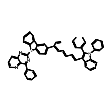 C=C\C(=C/C=C/C=C/c1c(C(/C=C\C)=C/C)n(-c2ccccc2)c2ccccc12)c1ccc2c(c1)c1ccccc1n2-c1nc(-c2ccccc2)c2ncccc2n1